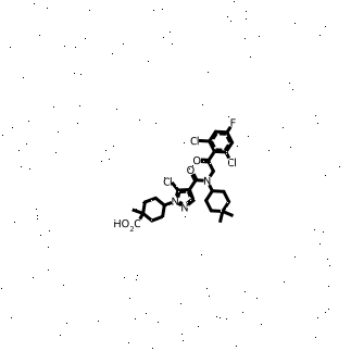 CC1(C)CCC(N(CC(=O)c2c(Cl)cc(F)cc2Cl)C(=O)c2cnn(C3CCC(C)(C(=O)O)CC3)c2Cl)CC1